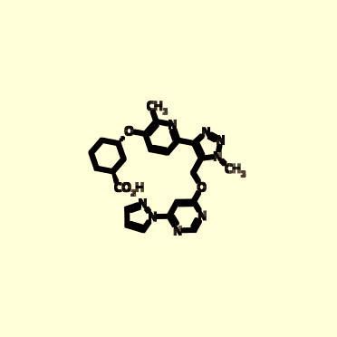 Cc1nc(-c2nnn(C)c2COc2cc(-n3cccn3)ncn2)ccc1O[C@H]1CCC[C@H](C(=O)O)C1